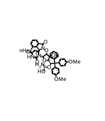 CCCCCCc1cccc2c1C(=O)N(O[C@@H]1[C@H](O)[C@@H](C(OP(N)O)C(c3ccccc3)(c3ccc(OC)cc3)c3ccc(OC)cc3)O[C@H]1n1ccc(=O)[nH]c1=O)C2=O